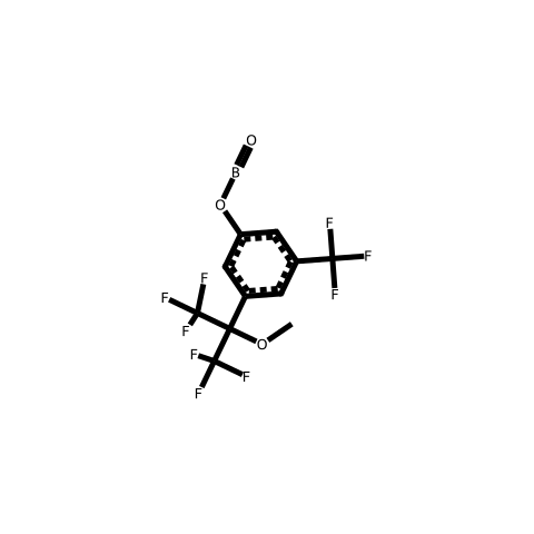 COC(c1cc(OB=O)cc(C(F)(F)F)c1)(C(F)(F)F)C(F)(F)F